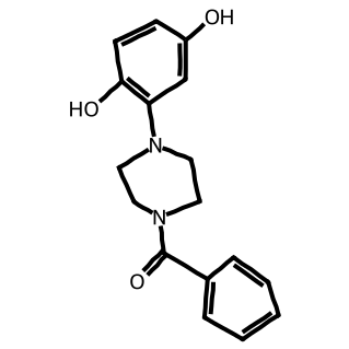 O=C(c1ccccc1)N1CCN(c2cc(O)ccc2O)CC1